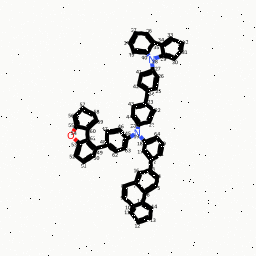 c1cc(-c2ccc3c(ccc4ccccc43)c2)cc(N(c2ccc(-c3ccc(-n4c5ccccc5c5ccccc54)cc3)cc2)c2ccc(-c3cccc4oc5ccccc5c34)cc2)c1